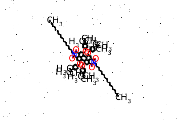 CCCCCCCCCCCCCCCCCCN1C(=O)c2cc(Oc3ccc(C(C)(C)C)cc3)c3c4c(Oc5ccc(C(C)(C)C)cc5)cc5c6c(cc(Oc7ccc(C(C)(C)C)cc7)c(c7c(Oc8ccc(C(C)(C)C)cc8)cc(c2c37)C1=O)c64)C(=O)N(CCCCCCCCCCCCCCCCCC)C5=O